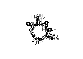 CCCC[C@H](NC(C)=O)C(=O)N[C@@H]1C(=O)N[C@@H](Cc2c[nH]cn2)C(=O)N[C@H](Cc2ccccc2)C(=O)N[C@@H](CCCNC(=N)N)C(=O)N[C@@H](Cc2c[nH]c3ccccc23)C(=O)NCCCC(=O)N[C@H](C(N)=O)C(C)(C)SSC1(C)C